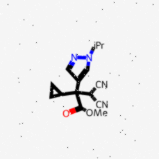 COC(=O)C(c1cnn(C(C)C)c1)(C(C#N)C#N)C1CC1